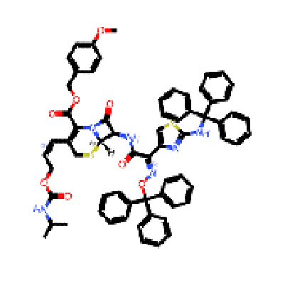 COc1ccc(COC(=O)C2=C(/C=C\COC(=O)NC(C)C)CS[C@H]3C(NC(=O)/C(=N\OC(c4ccccc4)(c4ccccc4)c4ccccc4)c4csc(NC(c5ccccc5)(c5ccccc5)c5ccccc5)n4)C(=O)N23)cc1